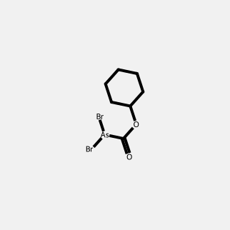 O=C(OC1CCCCC1)[As](Br)Br